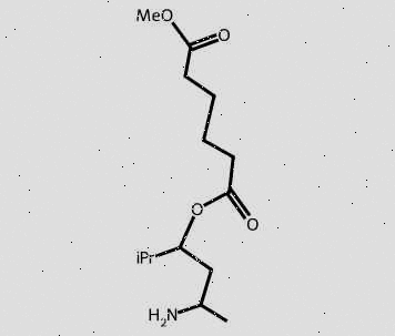 COC(=O)CCCCC(=O)OC(CC(C)N)C(C)C